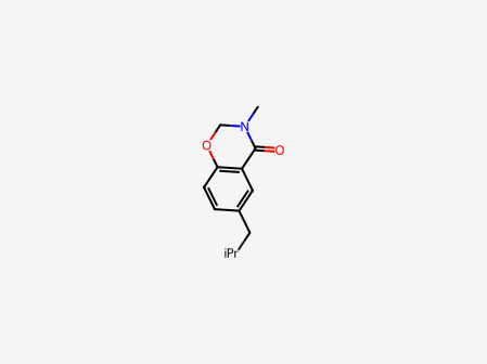 CC(C)Cc1ccc2c(c1)C(=O)N(C)CO2